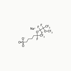 O=S(=O)([O-])CCCCC(F)(OC(F)(F)C(F)(OC(F)(F)F)C(F)(F)F)C(F)(F)F.[Na+]